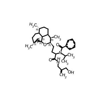 C=C(CO)CNC(=O)C(CC[C@H]1O[C@@H]2C[C@]3(C)CCC4[C@H](C)CCC([C@H]1C)[C@]42CO3)N(C(=O)c1ccccc1)C(C)C